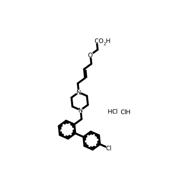 Cl.Cl.O=C(O)COCC=CCN1CCN(Cc2ccccc2-c2ccc(Cl)cc2)CC1